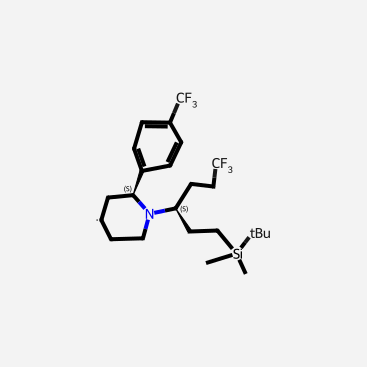 CC(C)(C)[Si](C)(C)CC[C@H](CCC(F)(F)F)N1CC[CH]C[C@H]1c1ccc(C(F)(F)F)cc1